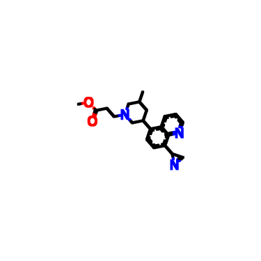 COC(=O)CCN1CC(C)CC(c2ccc(C3C=N3)c3ncccc23)C1